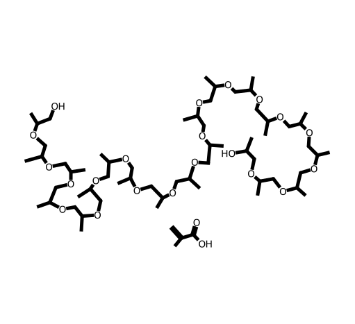 C=C(C)C(=O)O.CC(O)COC(C)COC(C)COC(C)COC(C)COC(C)COC(C)COC(C)COC(C)COC(C)COC(C)COC(C)COC(C)COC(C)COC(C)COC(C)COC(C)COC(C)COC(C)COC(C)CO